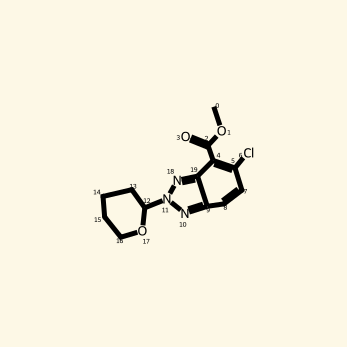 COC(=O)c1c(Cl)ccc2nn(C3CCCCO3)nc12